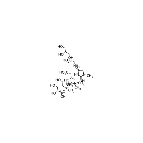 CN1CC(=O)NC1=N.C[N+](C)(C)CC(O)CC(=O)O.C[N+](C)(C)CCO.NCC(=O)O.OCC(O)CO.OCC(O)CO